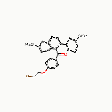 COc1cccc(-c2ccc3cc(OC)ccc3c2C(=O)c2ccc(OCCBr)cc2)c1